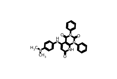 CN(C)c1ccc(Nc2cc(=O)[nH]c3c2c(=O)n(-c2ccccc2)c(=O)n3-c2ccccc2)cc1